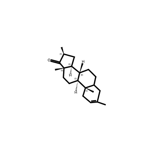 CC1=CC[C@@]2(C)C(CC[C@@H]3[C@@H]2CC[C@]2(C)C(=O)[C@@H](C)C[C@@H]32)C1